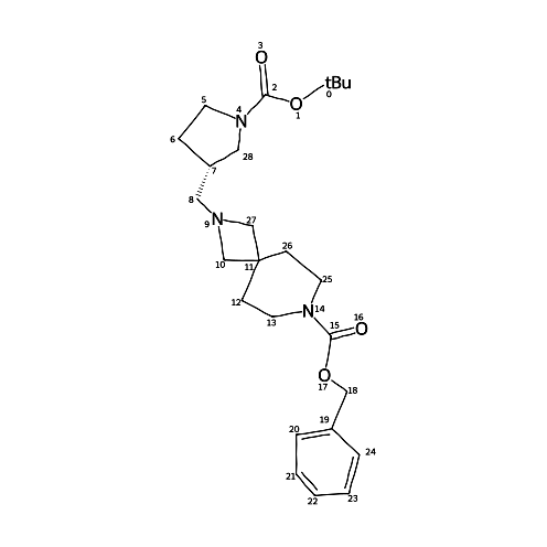 CC(C)(C)OC(=O)N1CC[C@@H](CN2CC3(CCN(C(=O)OCc4ccccc4)CC3)C2)C1